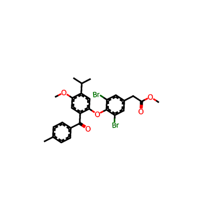 COC(=O)Cc1cc(Br)c(Oc2cc(C(C)C)c(OC)cc2C(=O)c2ccc(C)cc2)c(Br)c1